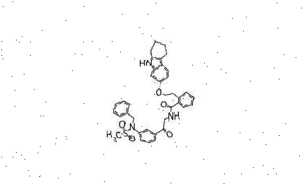 CS(=O)(=O)N(Cc1ccccc1)c1cccc(C(=O)CNC(=O)c2ccccc2CCOc2ccc3c4c([nH]c3c2)CCCC4)c1